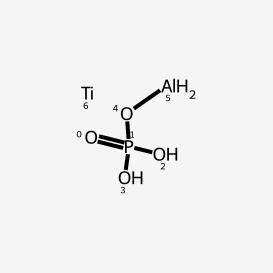 O=P(O)(O)[O][AlH2].[Ti]